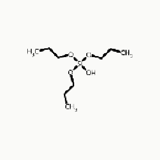 CCCO[Si](O)(OCCC)OCCC